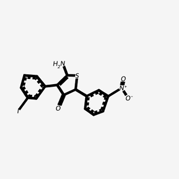 NC1=C(c2cccc(I)c2)C(=O)C(c2cccc([N+](=O)[O-])c2)S1